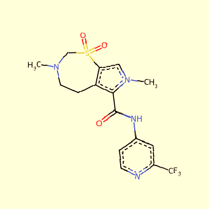 CN1CCc2c(cn(C)c2C(=O)Nc2ccnc(C(F)(F)F)c2)S(=O)(=O)C1